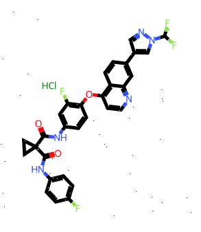 Cl.O=C(Nc1ccc(F)cc1)C1(C(=O)Nc2ccc(Oc3ccnc4cc(-c5cnn(C(F)F)c5)ccc34)c(F)c2)CC1